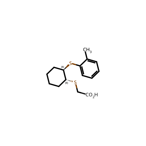 Cc1ccccc1S[C@@H]1CCCC[C@H]1SCC(=O)O